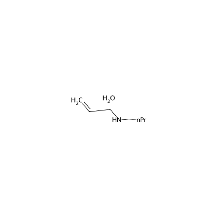 C=CCNCCC.O